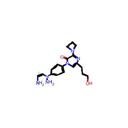 N/C=C\N(N)c1ccc(-n2cc(CCCO)nc(N3CCC3)c2=O)cc1